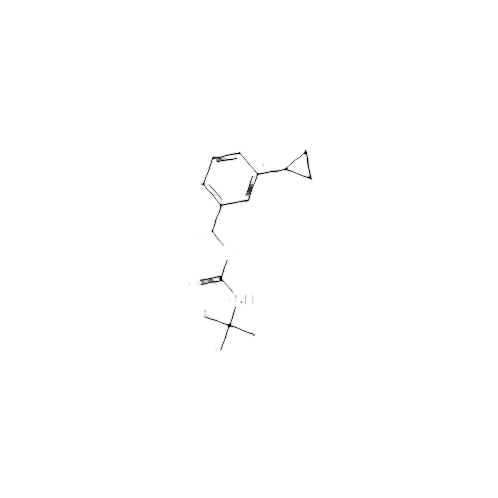 C[C@@H](OC(=O)NC(C)(C)C)c1cccc(C2CC2)c1